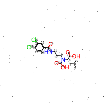 CC(C)C[C@@H](C(=O)O)N(CCCNC(=O)c1ccc(Cl)c(Cl)c1)C(=O)O